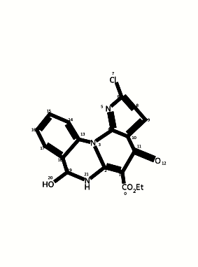 CCOC(=O)c1c2n(c3nc(Cl)ccc3c1=O)-c1ccccc1C(O)N2